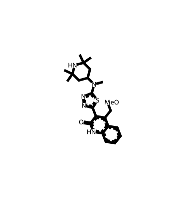 COCc1c(-c2nnc(N(C)C3CC(C)(C)NC(C)(C)C3)s2)c(=O)[nH]c2ccccc12